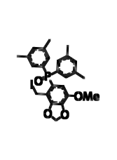 COc1cc(P(=O)(c2cc(C)cc(C)c2)c2cc(C)cc(C)c2)c(CI)c2c1OCO2